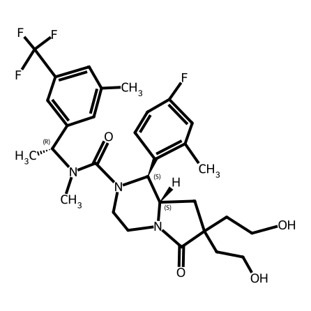 Cc1cc([C@@H](C)N(C)C(=O)N2CCN3C(=O)C(CCO)(CCO)C[C@H]3[C@@H]2c2ccc(F)cc2C)cc(C(F)(F)F)c1